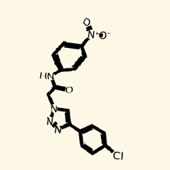 O=C(Cn1cc(-c2ccc(Cl)cc2)nn1)Nc1ccc([N+](=O)[O-])cc1